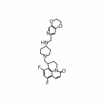 O=c1ccc2c(F)cc(F)c3c2n1CCC3CN1CCC(NCc2cc3c(cn2)OCCO3)CC1